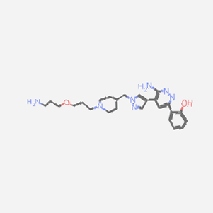 NCCCOCCCN1CCC(Cn2cc(-c3cc(-c4ccccc4O)nnc3N)cn2)CC1